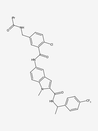 CC(C)C(=O)NCc1ccc(Cl)c(C(=O)Nc2ccc3c(c2)cc(C(=O)NC(C)c2ccc(C(F)(F)F)cc2)n3C)c1